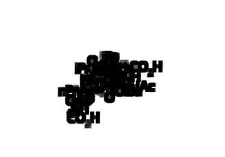 CCC[C@H](NC(=O)[C@@H]1C[C@@H](NC(=O)OCC(C)C)CN1C(=O)[C@@H](NC(=O)[C@@H](NC(=O)[C@H](CCC(=O)O)NC(=O)[C@H](CCC(=O)O)NC(C)=O)C(C)C)C(C)C)C(=O)C(=O)NCC(=O)O